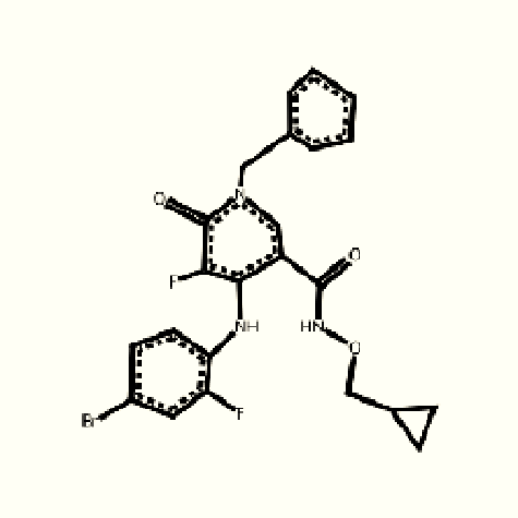 O=C(NOCC1CC1)c1cn(Cc2ccccc2)c(=O)c(F)c1Nc1ccc(Br)cc1F